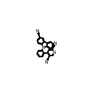 N#Cc1ccc2c(c1)c1ccccc1n2-c1ccccc1-c1cc(C#N)ncc1C#N